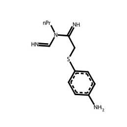 CCCN(C=N)C(=N)CSc1ccc(N)cc1